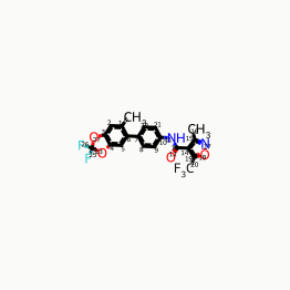 Cc1cc2c(cc1-c1ccc(NC(=O)c3c(C)noc3C(F)(F)F)cc1)OC(F)(F)O2